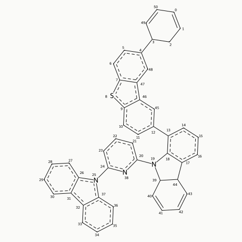 C1=CCC(c2ccc3sc4ccc(-c5cccc6c5N(c5cccc(-n7c8ccccc8c8ccccc87)n5)C5C=CC=CC65)cc4c3c2)C=C1